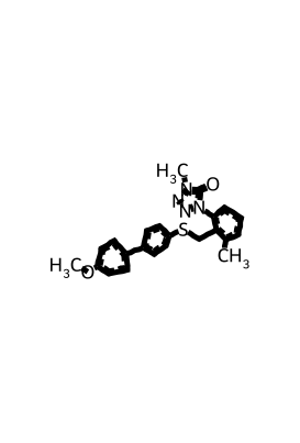 COc1ccc(-c2ccc(SCc3c(C)cccc3-n3nnn(C)c3=O)cc2)cc1